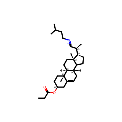 CCC(=O)O[C@H]1CC[C@@]2(C)C(=CC[C@H]3C4CC[C@H]([C@H](C)/C=N/CCC(C)C)[C@@]4(C)CC[C@@H]32)C1